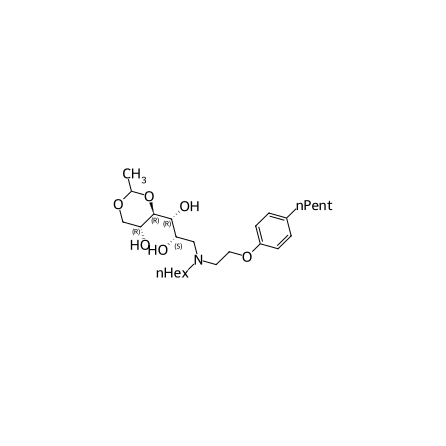 CCCCCCN(CCOc1ccc(CCCCC)cc1)C[C@H](O)[C@@H](O)[C@@H]1OC(C)OC[C@H]1O